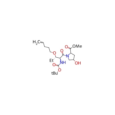 C=CCCCO[C@@H](CC)[C@H](NC(=O)OC(C)(C)C)C(=O)N1CC(O)CC1C(=O)OC